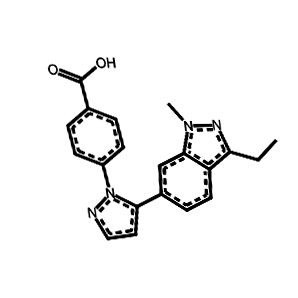 CCc1nn(C)c2cc(-c3ccnn3-c3ccc(C(=O)O)cc3)ccc12